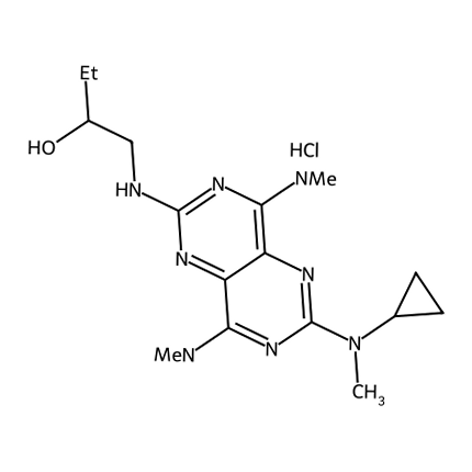 CCC(O)CNc1nc(NC)c2nc(N(C)C3CC3)nc(NC)c2n1.Cl